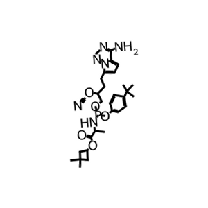 CC(NP(OCC(CCc1ccc2c(N)ncnn12)OC#N)Oc1ccc(C(C)(C)C)cc1)C(=O)OC1CC(C)(C)C1